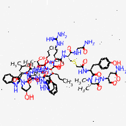 CCCC[C@@H](C(=O)N(C)[C@@H](CCCC)C(=O)N[C@@H](CCCNC(=N)N)C(=O)N[C@@H](CSCC(=O)N[C@@H](Cc1ccc(O)cc1)C(=O)N(C)[C@@H](C)C(=O)N[C@H](C=O)CC(N)=O)C(=O)NCC(N)=O)N(C)C(=O)[C@H](Cc1c[nH]c2ccccc12)NC(=O)[C@@H](NC(=O)[C@H](Cc1c[nH]c2ccccc12)N1C(=O)[C@@]12C[C@@H](O)CN2C(=O)[C@H](CC(C)C)NC(=O)[C@H](NN)NC(=O)[C@@H]1CCCN1)[C@@H](C)O